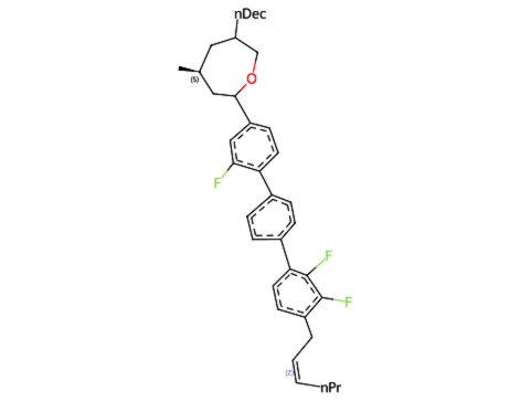 CCC/C=C\Cc1ccc(-c2ccc(-c3ccc(C4C[C@@H](C)CC(CCCCCCCCCC)CO4)cc3F)cc2)c(F)c1F